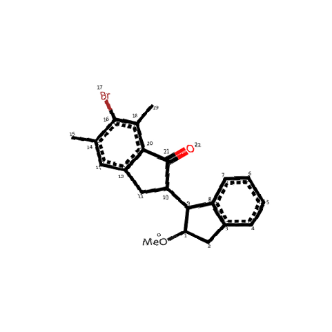 COC1Cc2ccccc2C1C1Cc2cc(C)c(Br)c(C)c2C1=O